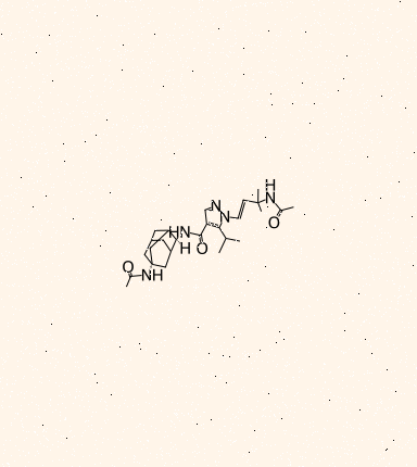 CC(=O)NC(C)(C)/C=C/n1ncc(C(=O)N[C@H]2C3CC4CC2C[C@](NC(C)=O)(C4)C3)c1C(C)C